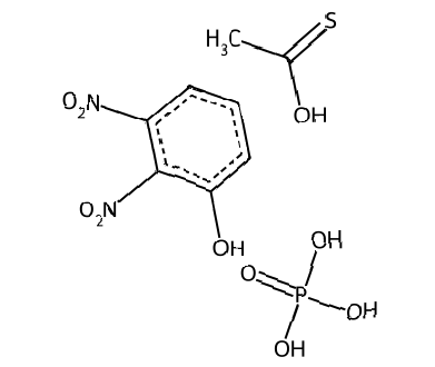 CC(O)=S.O=P(O)(O)O.O=[N+]([O-])c1cccc(O)c1[N+](=O)[O-]